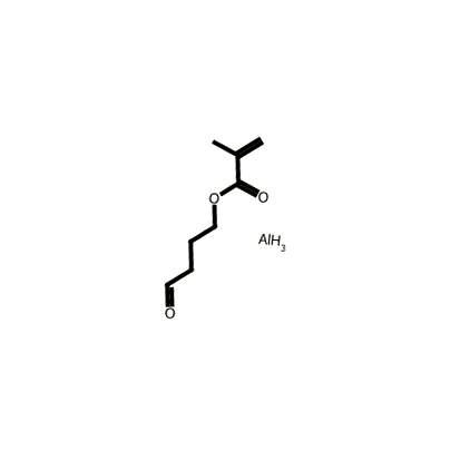 C=C(C)C(=O)OCCCC=O.[AlH3]